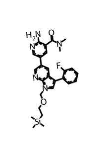 CN(C)C(=O)c1cc(-c2cnc3c(c2)c(-c2ccccc2F)cn3COCC[Si](C)(C)C)cnc1N